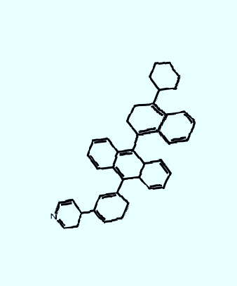 C1=CC2C(C3=CC(C4C=CN=CC4)=CCC3)=c3ccccc3=C(C3=c4ccccc4=C(C4CCCCC4)CC3)C2C=C1